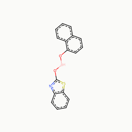 B(Oc1nc2ccccc2s1)Oc1cccc2ccccc12